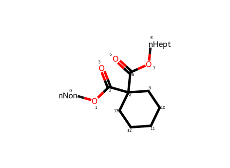 CCCCCCCCCOC(=O)C1(C(=O)OCCCCCCC)CCCCC1